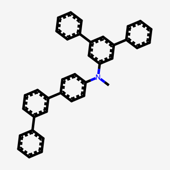 CN(c1ccc(-c2cccc(-c3ccccc3)c2)cc1)c1cc(-c2ccccc2)cc(-c2ccccc2)c1